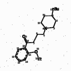 CCCCC1CCN(CCCC(=O)c2ccccc2OCC)CC1